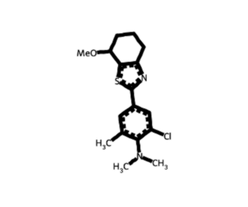 COC1CCCc2nc(-c3cc(C)c(N(C)C)c(Cl)c3)sc21